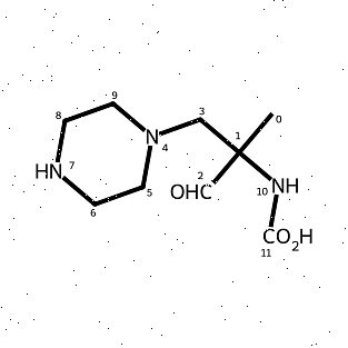 CC(C=O)(CN1CCNCC1)NC(=O)O